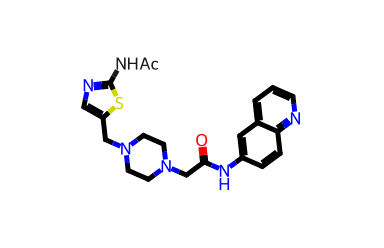 CC(=O)Nc1ncc(CN2CCN(CC(=O)Nc3ccc4ncccc4c3)CC2)s1